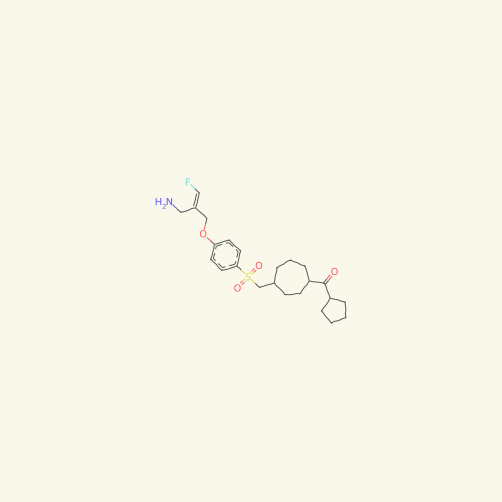 NC/C(=C\F)COc1ccc(S(=O)(=O)CC2CCCC(C(=O)C3CCCC3)CC2)cc1